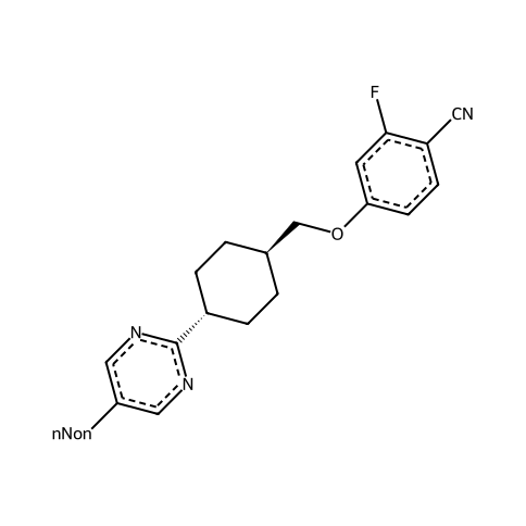 CCCCCCCCCc1cnc([C@H]2CC[C@H](COc3ccc(C#N)c(F)c3)CC2)nc1